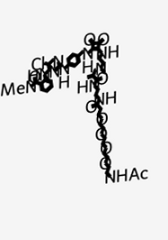 C=C(CN(C)CCNc1c(NCc2ccc(Nc3ncc(Cl)c(Nc4ccccc4C(=O)NC)n3)cc2)c(=O)c1=O)C(=O)NCCNC(=O)CCOCCOCCOCCOCCNC(C)=O